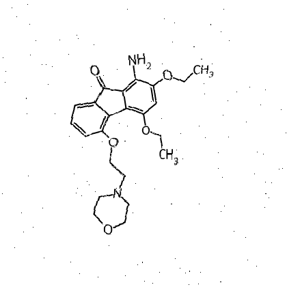 CCOc1cc(OCC)c2c(c1N)C(=O)c1cccc(OCCN3CCOCC3)c1-2